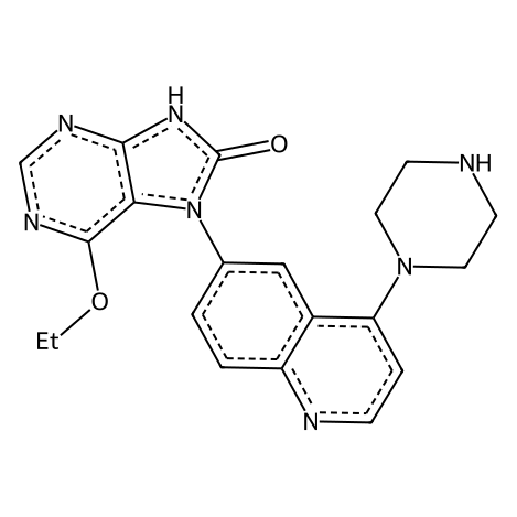 CCOc1ncnc2[nH]c(=O)n(-c3ccc4nccc(N5CCNCC5)c4c3)c12